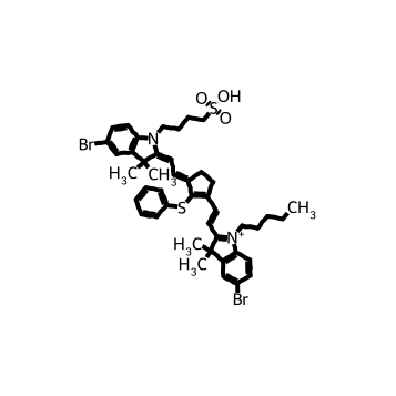 CCCCC[N+]1=C(/C=C/C2=C(Sc3ccccc3)C(=C/C=C3/N(CCCCS(=O)(=O)O)c4ccc(Br)cc4C3(C)C)/CC2)C(C)(C)c2cc(Br)ccc21